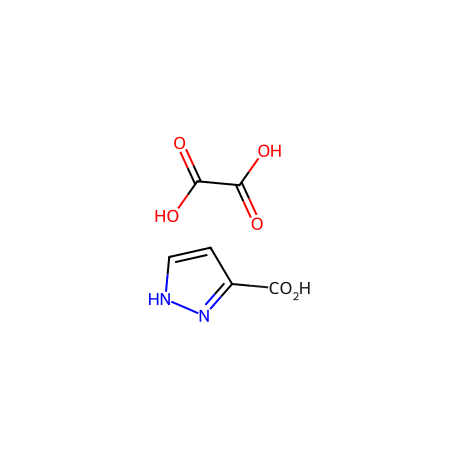 O=C(O)C(=O)O.O=C(O)c1cc[nH]n1